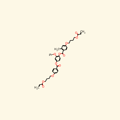 C=CC(=O)OCCCCOc1ccc(C(=O)Oc2ccc(OC(=O)c3ccc(OCCCCOC(=O)C=C)cc3C)c(OC(C)C)c2)cc1